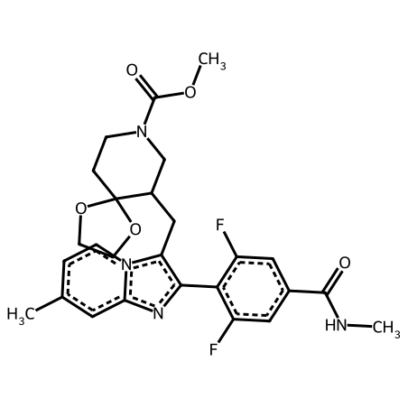 CNC(=O)c1cc(F)c(-c2nc3cc(C)ccn3c2CC2CN(C(=O)OC)CCC23OCCO3)c(F)c1